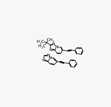 C(#Cc1ccc2ncnn2c1)c1ccccc1.CC(C)(C)c1nc2ccc(C#Cc3ccccc3)cn2n1